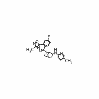 Cc1ccc(NC2CC3CC2N(C(=O)c2ccc(F)cc2-c2nc(C)no2)C3)nc1